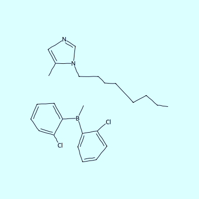 CB(c1ccccc1Cl)c1ccccc1Cl.CCCCCCCCn1cncc1C